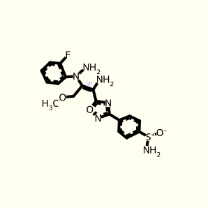 COC/C(=C(/N)c1nc(-c2ccc([S+](N)[O-])cc2)no1)N(N)c1ccccc1F